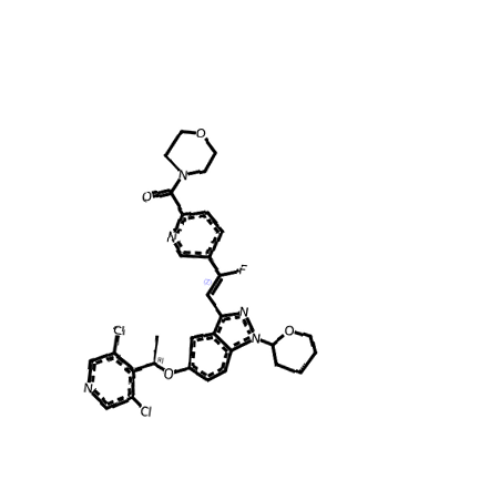 C[C@@H](Oc1ccc2c(c1)c(/C=C(\F)c1ccc(C(=O)N3CCOCC3)nc1)nn2C1CCCCO1)c1c(Cl)cncc1Cl